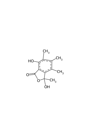 Cc1c(C)c(O)c2c(c1C)C(C)(O)OC2=O